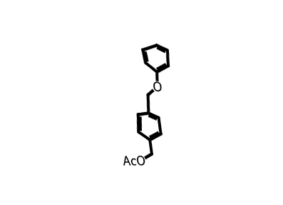 CC(=O)OCc1ccc(COc2ccccc2)cc1